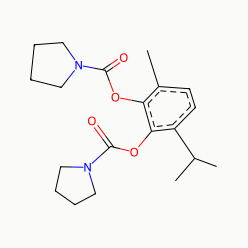 Cc1ccc(C(C)C)c(OC(=O)N2CCCC2)c1OC(=O)N1CCCC1